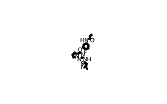 C=CC(=O)Nc1ccc(F)c(Oc2nc(Nc3cc(C)ns3)nn3cccc23)c1